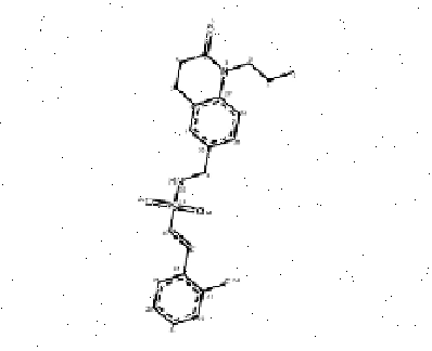 CCCN1C(=O)CCc2cc(CNS(=O)(=O)C=Cc3ccccc3F)ccc21